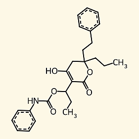 CCCC1(CCc2ccccc2)CC(O)=C(C(CC)OC(=O)Nc2ccccc2)C(=O)O1